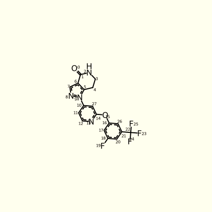 O=C1NCCc2c1cnn2-c1ccnc(Oc2cc(F)cc(C(F)(F)F)c2)c1